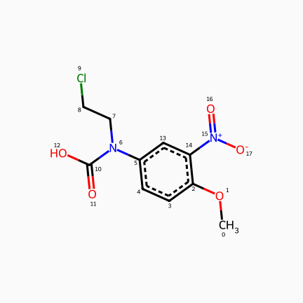 COc1ccc(N(CCCl)C(=O)O)cc1[N+](=O)[O-]